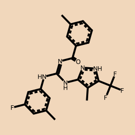 Cc1cc(F)cc(N/C(=N/C(=O)c2cccc(C)c2)Nc2n[nH]c(C(F)(F)F)c2C)c1